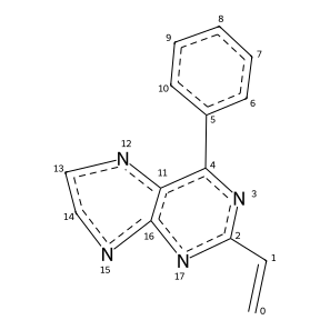 C=Cc1nc(-c2ccccc2)c2nccnc2n1